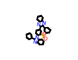 O=S1(=O)c2cc(-c3nc4ccccc4nc3-c3ccccc3)ccc2-n2c(-c3ccccc3)nc3cccc1c32